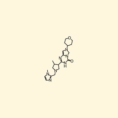 CC1CN(Cc2nccn2C)CC1C1=NC2=CN(C3CCOCC3)CN2C(=O)N1